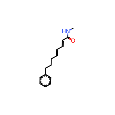 CNC(=O)/C=C/C=C/CCCc1ccccc1